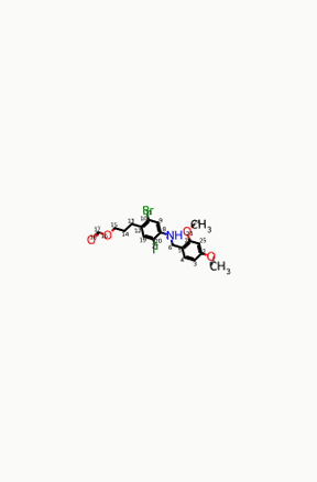 COc1ccc(CNc2cc(Br)c(CCCOC=O)cc2F)c(OC)c1